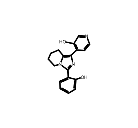 Oc1cnccc1-c1nc(-c2ccccc2O)n2c1CCCC2